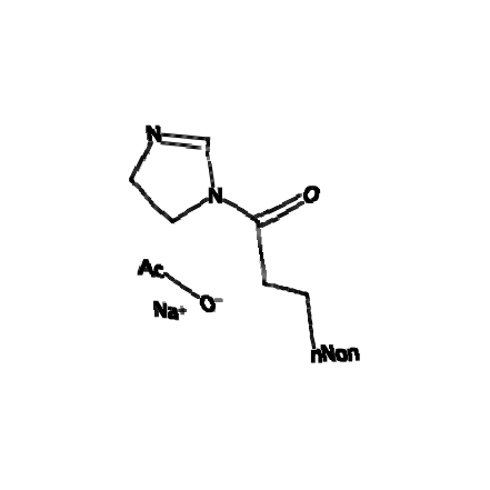 CC(=O)[O-].CCCCCCCCCCCC(=O)N1C=NCC1.[Na+]